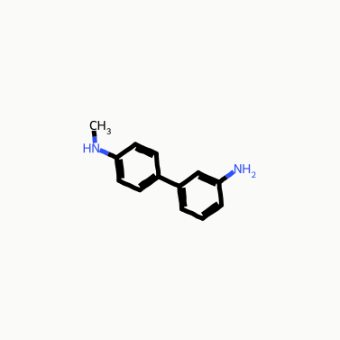 CNc1ccc(-c2cccc(N)c2)cc1